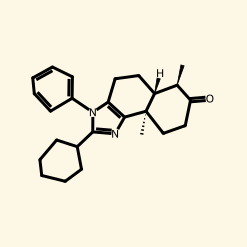 C[C@H]1C(=O)CC[C@@]2(C)c3nc(C4CCCCC4)n(-c4ccccc4)c3CC[C@H]12